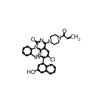 C=CC(=O)N1CCN(c2nc(=O)n(-c3ccccc3C(C)C)c3nc(-c4cc(O)cc5ccccc45)c(Cl)cc23)CC1